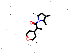 CC1C[C@@H](C)N(C(=O)C(C)C2CCOCC2)C1C